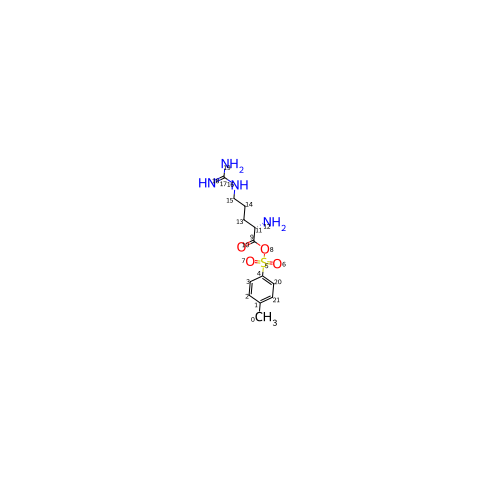 Cc1ccc(S(=O)(=O)OC(=O)[C@@H](N)CCCNC(=N)N)cc1